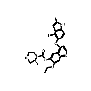 CCOc1cc2nccc(Oc3ccc4[nH]c(C)cc4c3F)c2cc1OC(=O)N1CCNC[C@@H]1C